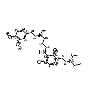 CCN(CC)CCn1ncc(Cl)c(NCCCN(C)CCc2ccc(OC)c(OC)c2)c1=O